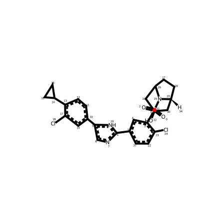 O=S(=O)(c1cc(-c2ncc(-c3ccc(C4CC4)c(Cl)c3)[nH]2)ccc1Cl)N1C2CC[C@@H]1CC(O)C2